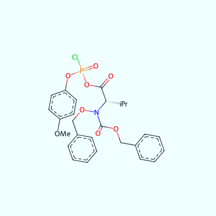 COc1ccc(OP(=O)(Cl)OC(=O)[C@H](C(C)C)N(OCc2ccccc2)C(=O)OCc2ccccc2)cc1